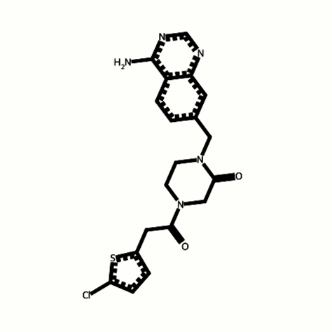 Nc1ncnc2cc(CN3CCN(C(=O)Cc4ccc(Cl)s4)CC3=O)ccc12